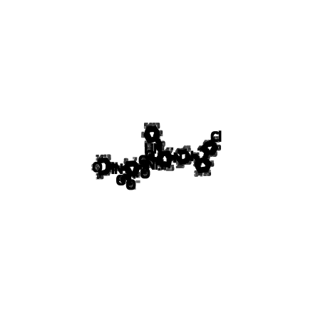 O=C(NS(=O)(=O)c1ccc(NCC2CCOCC2)c([N+](=O)[O-])c1)c1ccc(N2CCN(Cc3ccccc3-c3ccc(Cl)cc3)CC2)cc1NCc1ccccc1